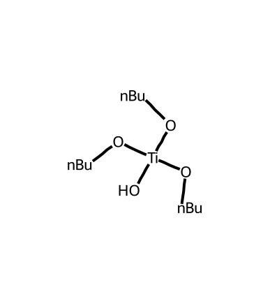 CCCC[O][Ti]([OH])([O]CCCC)[O]CCCC